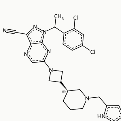 CC(c1ccc(Cl)cc1Cl)n1nc(C#N)c2ncc(N3CC([C@@H]4CCCN(Cc5cnc[nH]5)C4)C3)nc21